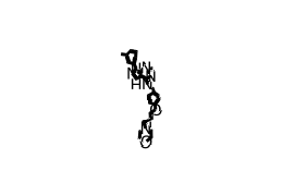 Cc1cccc(-n2ncc3c(NCc4ccc(OCCCN5CCOCC5)cc4)ncnc32)c1